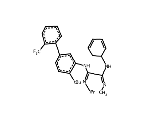 C/N=C(NC1C=CC=CC1)\C(=N/C(C)C)Nc1cc(-c2ccccc2C(F)(F)F)ccc1C(C)(C)C